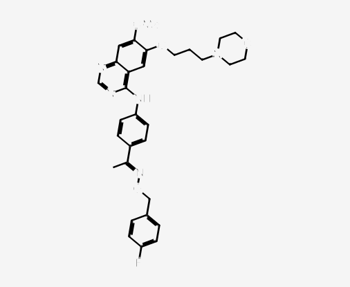 COc1cc2ncnc(Nc3ccc(C(C)=NOCc4ccc(F)cc4)cc3)c2cc1OCCCN1CCOCC1